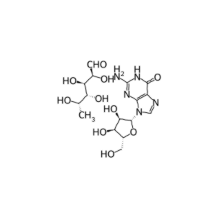 C[C@H](O)[C@@H](O)[C@@H](O)[C@H](O)C=O.Nc1nc2c(ncn2[C@@H]2O[C@H](CO)[C@@H](O)[C@H]2O)c(=O)[nH]1